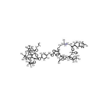 C=CCOC(=O)[C@H]1O[C@@H](Oc2ccc(COC(=O)O[C@H]3[C@@H](C)CCC/C(C)=C\C[C@@H](c4ccc5sc(C)nc5c4)OC(=O)C[C@H](O[Si](C)(C)C(C)(C)C)C(C)(C)C(=O)[C@@H]3CC=C)cc2)[C@H](O[Si](C)(C)C(C)(C)C)[C@@H](O[Si](C)(C)C(C)(C)C)[C@H]1O[Si](C)(C)C(C)(C)C